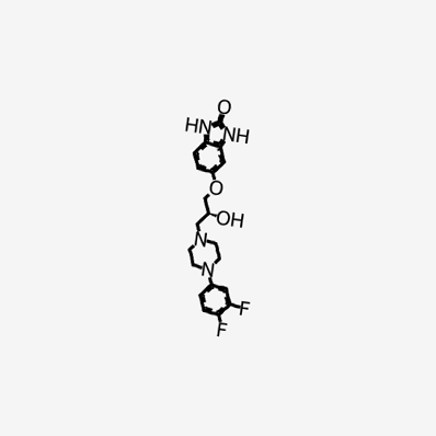 O=c1[nH]c2ccc(OC[C@@H](O)CN3CCN(c4ccc(F)c(F)c4)CC3)cc2[nH]1